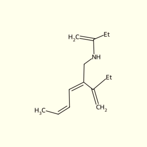 C=C(CC)NC/C(=C/C=C\C)C(=C)CC